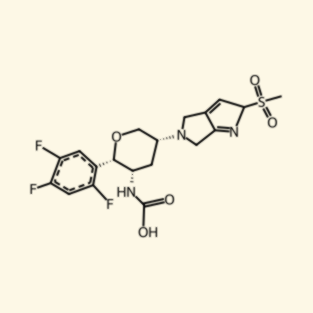 CS(=O)(=O)C1C=C2CN([C@H]3CO[C@@H](c4cc(F)c(F)cc4F)[C@@H](NC(=O)O)C3)CC2=N1